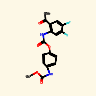 COC(=O)c1cc(F)c(F)cc1NC(=O)Oc1ccc(NC(=O)OC(C)(C)C)cc1